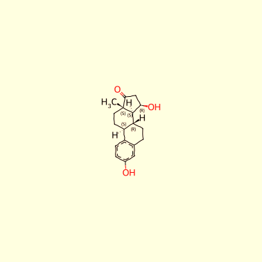 C[C@]12CC[C@@H]3c4ccc(O)cc4CC[C@H]3[C@@H]1[C@H](O)CC2=O